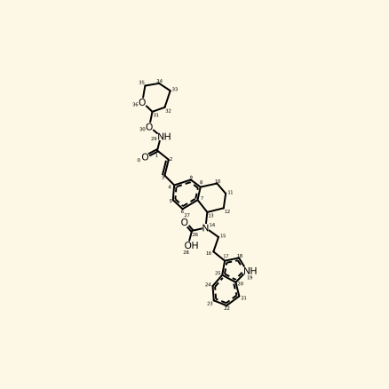 O=C(C=Cc1ccc2c(c1)CCCC2N(CCc1c[nH]c2ccccc12)C(=O)O)NOC1CCCCO1